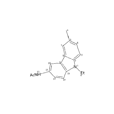 CCn1c2ccc(C)cc2c2cc(NC(C)=O)ccc21